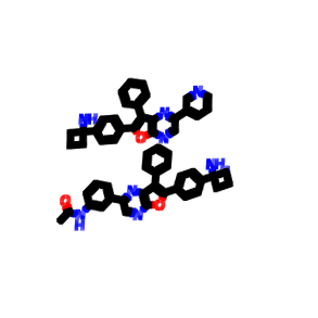 CC(=O)Nc1cccc(-c2cnc3oc(-c4ccc(C5(N)CCC5)cc4)c(-c4ccccc4)c3n2)c1.NC1(c2ccc(-c3oc4ncc(-c5cccnc5)nc4c3-c3ccccc3)cc2)CCC1